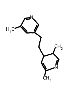 CC1=CC(CCc2cncc(C)c2)C(C)C=N1